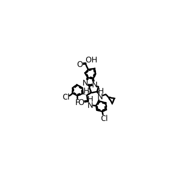 O=C(O)c1ccc2c(c1)nc1n2C[C@@H]2[C@H]1[C@@H](c1cccc(Cl)c1F)C(=O)Nc1cc(Cl)ccc1N2CC1CC1